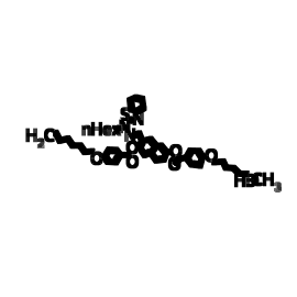 C=CCCCCCCOc1ccc(C(=O)Oc2cc3ccc(OC(=O)c4ccc(OCCCCCCBC)cc4)cc3cc2/C=N/N(CCCCCC)c2nc3ccccc3s2)cc1